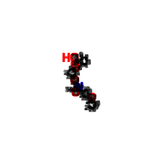 Cc1cccc(CO[C@@H]2CCC[C@H](OCc3nc(-c4ccc(Oc5ccccc5)cc4)oc3C)C2)c1C(=O)O